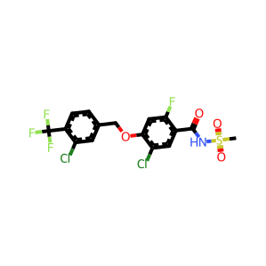 CS(=O)(=O)NC(=O)c1cc(Cl)c(OCc2ccc(C(F)(F)F)c(Cl)c2)cc1F